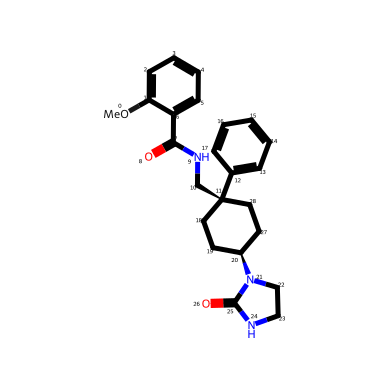 COc1ccccc1C(=O)NC[C@]1(c2ccccc2)CC[C@H](N2CCNC2=O)CC1